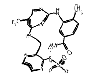 CCS(=O)(=O)Nc1nccnc1CNc1nc(Nc2cc(C(N)=O)ccc2C)ncc1C(F)(F)F